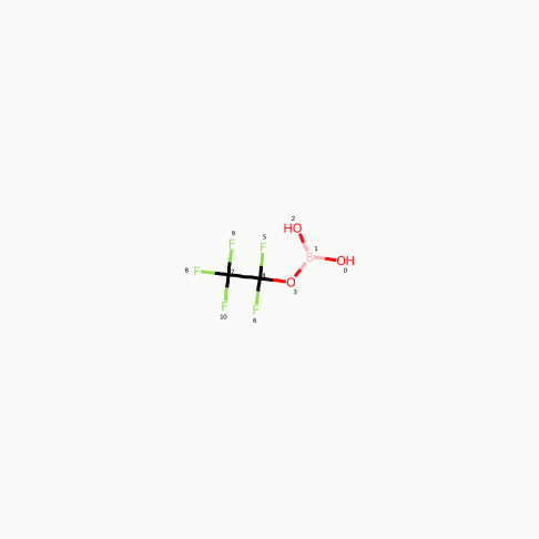 OB(O)OC(F)(F)C(F)(F)F